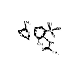 CC(=O)Nc1c(O)cccc1[As](=O)(O)O.Cc1cscn1